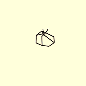 CC12CC3CC(C1)C(=S)C(C3)C2